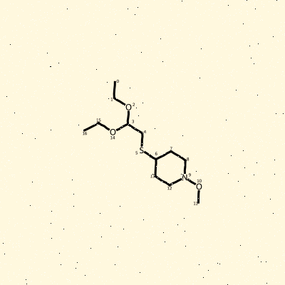 CCOC(CSC1CCN(OC)CC1)OCC